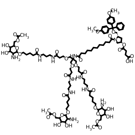 COc1ccc(C(OC[C@@H]2C[C@@H](OC(=O)CCC(=O)O)CN2C(=O)CCCCCCCCCCC(=O)NC(COCCC(=O)NCCCNC(=O)CCCCOC2OC(COC(C)=O)C(O)C(O)C2N)(COCCC(=O)NCCCNC(=O)CCCCOC2OC(COC(C)=O)C(O)C(O)C2N)COCCC(=O)NCCCNC(=O)CCCCOC2OC(COC(C)=O)C(O)C(O)C2N)(c2ccccc2)c2ccc(OC)cc2)cc1